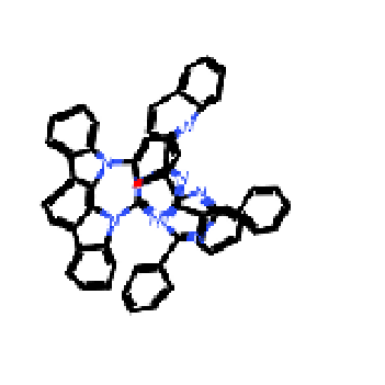 c1ccc(-c2nc(-c3ccccc3)nc(-c3cccc(-n4c5ccccc5c5ccc6c7ccccc7n(-c7nc(-c8ccccc8)nc(-c8ccc9ccccc9n8)n7)c6c54)c3)n2)cc1